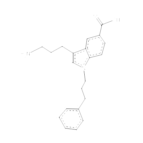 CC(=O)c1ccc2c(c1)c(CCCN)cn2CCCc1ccccc1